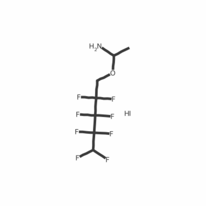 CC(N)OCC(F)(F)C(F)(F)C(F)(F)C(F)F.I